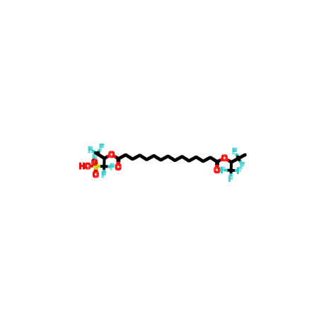 CC(F)(F)C(OC(=O)CCCCCCCCCCCCCC(=O)OC(C(F)(F)F)C(F)(F)S(=O)(=O)O)C(F)(F)F